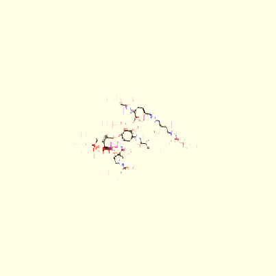 C=C(OC(C)(C)C)C(C)[C@@H]1[C@@H](O)C(O[C@H]2C(NC(=O)C3(O)CCN(C(=C)O)C3)C[C@H](NC(=O)CC(C)(C)C)[C@@H](OC[C@H]3OC(CNCC(O)CCNC(=O)OC(C)(C)C)=CC[C@H]3NC(=O)CC(C)(C)C)[C@@H]2O)OC[C@]1(C)O